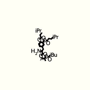 CCC(C)C(=O)OC(C)[C@H](C)OC(=O)[C@@H](N)Cc1ccc(OC(=O)CCC(C)C)c(OC(=O)CCC(C)C)c1